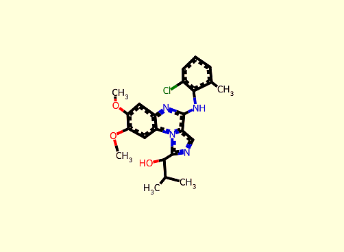 COc1cc2nc(Nc3c(C)cccc3Cl)c3cnc(C(O)C(C)C)n3c2cc1OC